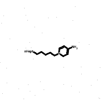 CCCCCCCCCCCCN1C=CC(N)=CC1